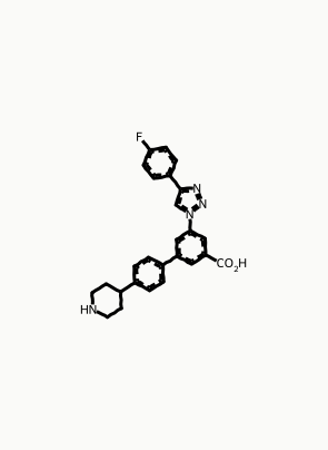 O=C(O)c1cc(-c2ccc(C3CCNCC3)cc2)cc(-n2cc(-c3ccc(F)cc3)nn2)c1